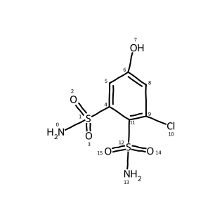 NS(=O)(=O)c1cc(O)cc(Cl)c1S(N)(=O)=O